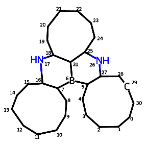 C1CCCCC2B3C4CCCCCCCCC4NC4CCCCCCC(NC2CCC1)C34